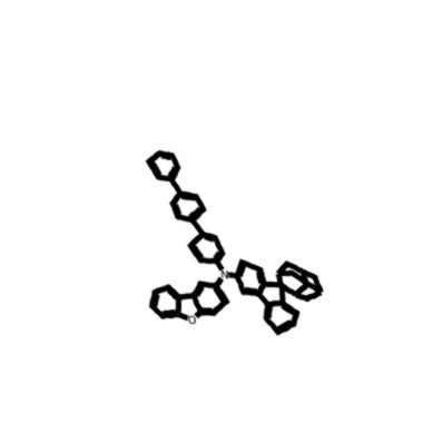 c1ccc(-c2ccc(-c3ccc(N(c4ccc5c(c4)-c4ccccc4C54C5CC6CC(C5)CC4C6)c4ccc5oc6ccccc6c5c4)cc3)cc2)cc1